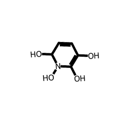 OC1=C(O)N(O)C(O)C=C1